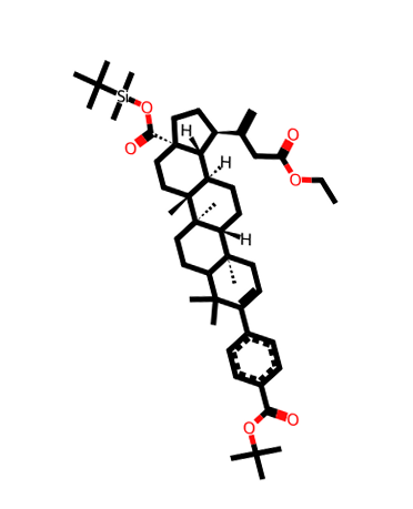 C=C(CC(=O)OCC)[C@@H]1CC[C@]2(C(=O)O[Si](C)(C)C(C)(C)C)CC[C@]3(C)[C@H](CC[C@@H]4[C@@]5(C)CC=C(c6ccc(C(=O)OC(C)(C)C)cc6)C(C)(C)C5CC[C@]43C)[C@@H]12